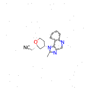 Cc1nc2cnc3ccccc3c2n1[C@H]1CCO[C@@H](CC#N)C1